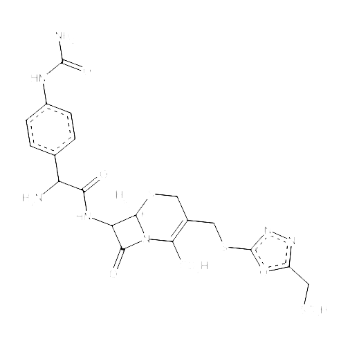 NC(=O)Nc1ccc(C(N)C(=O)NC2C(=O)N3C(C(=O)O)=C(CSc4nnc(CS(=O)(=O)O)o4)CS[C@H]23)cc1